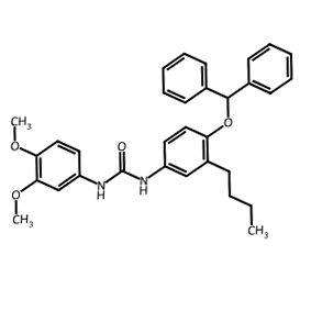 CCCCc1cc(NC(=O)Nc2ccc(OC)c(OC)c2)ccc1OC(c1ccccc1)c1ccccc1